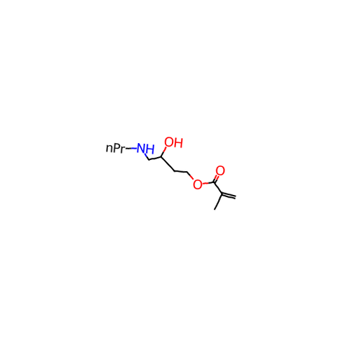 [CH2]CCNCC(O)CCOC(=O)C(=C)C